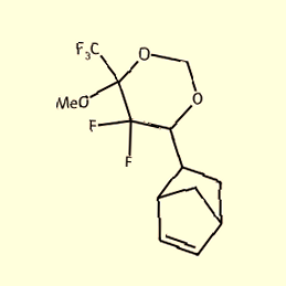 COC1(C(F)(F)F)OCOC(C2CC3C=CC2C3)C1(F)F